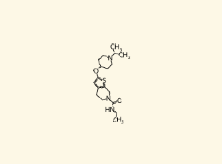 CCNC(=O)N1CCc2cc(OC3CCN(C(C)C)CC3)sc2C1